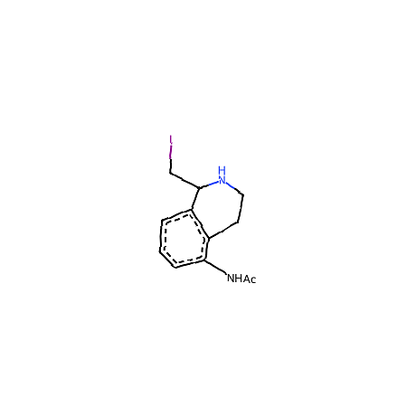 CC(=O)Nc1cccc2c1CCNC2CI